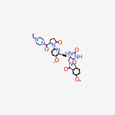 CCN1CCN(C(=O)C2CCC(=O)N2c2ccc(OC)c(C#C[C@]3(CN4Cc5ccc(OC)cc5C4=O)NC(=O)NC3=O)n2)CC1